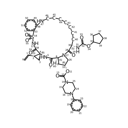 C=C[C@@H]1C[C@@]12NC(=O)[C@@H]1C[C@@H](OC(=O)N3CCN(c4ccccc4)CC3)CN1C(=O)[C@@H](NC(=O)OC1CCCC1)CCCCCCCNc1ccccc1S(=O)(=O)NC2=O